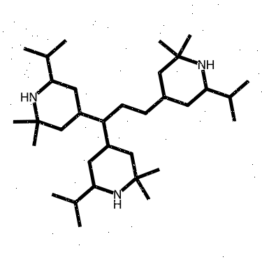 CC(C)C1CC(CCC(C2CC(C(C)C)NC(C)(C)C2)C2CC(C(C)C)NC(C)(C)C2)CC(C)(C)N1